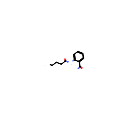 CCCCC(=O)Nc1ccccc1C(N)=O